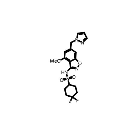 COc1cc(Cn2cccn2)cc2onc(NS(=O)(=O)C3CCC(F)(F)CC3)c12